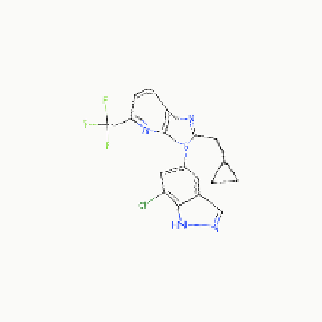 FC(F)(F)c1ccc2nc(CC3CC3)n(-c3cc(Cl)c4[nH]ncc4c3)c2n1